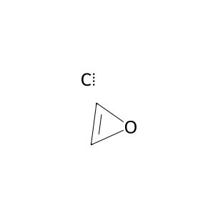 C1=CO1.[C]